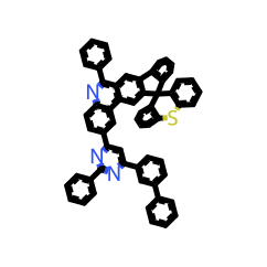 c1ccc(-c2cccc(-c3cc(-c4ccc5nc(-c6ccccc6)c6cc7c(cc6c5c4)C4(c5ccccc5Sc5ccccc54)c4ccccc4-7)nc(-c4ccccc4)n3)c2)cc1